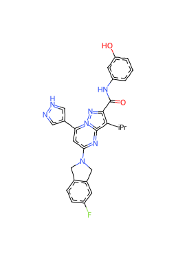 CC(C)c1c(C(=O)Nc2cccc(O)c2)nn2c(-c3cn[nH]c3)cc(N3Cc4ccc(F)cc4C3)nc12